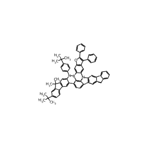 CC(C)(C)c1ccc(N2B3c4cc5oc(-c6ccccc6)c(-c6ccccc6)c5cc4-n4c5cc6c(cc5c5ccc(c3c54)-c3cc4c(cc32)C(C)(C)c2cc(C(C)(C)C)ccc2-4)Cc2ccccc2-6)cc1